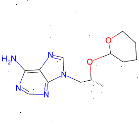 C[C@H](Cn1cnc2c(N)ncnc21)OC1CCCCO1